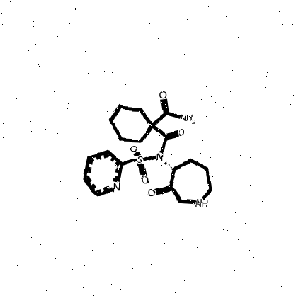 NC(=O)C1(C(=O)N([C@@H]2CCCNCC2=O)S(=O)(=O)c2ccccn2)CCCCC1